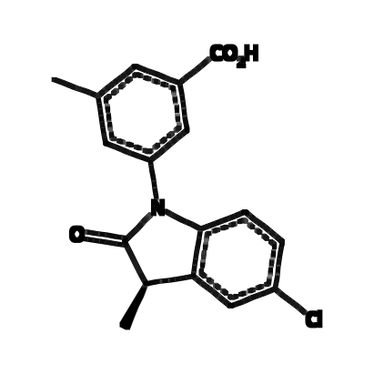 Cc1cc(C(=O)O)cc(N2C(=O)[C@H](C)c3cc(Cl)ccc32)c1